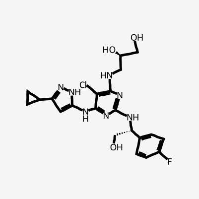 OC[C@H](O)CNc1nc(N[C@@H](CO)c2ccc(F)cc2)nc(Nc2cc(C3CC3)n[nH]2)c1Cl